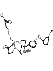 O=C(O)CCCSCCN1C(=O)CC[C@H]1C(=O)C1NCCC1(O)c1cccc(Oc2cccc(F)c2)c1